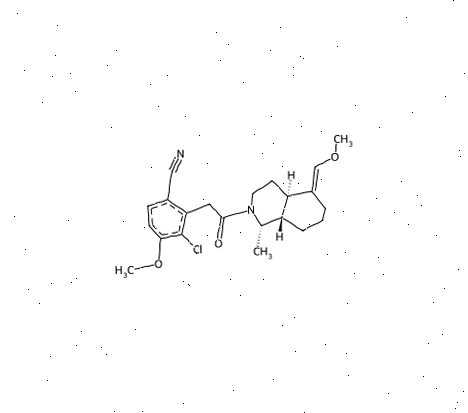 COC=C1CCC[C@H]2[C@H]1CCN(C(=O)Cc1c(C#N)ccc(OC)c1Cl)[C@H]2C